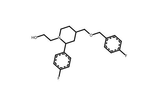 OCCN1CCC(COCc2ccc(F)cc2)CC1c1ccc(F)cc1